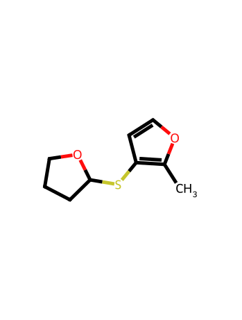 Cc1occc1SC1CCCO1